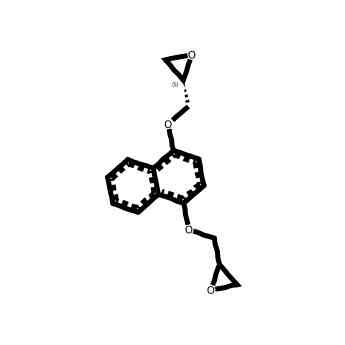 c1ccc2c(OC[C@@H]3CO3)ccc(OCC3CO3)c2c1